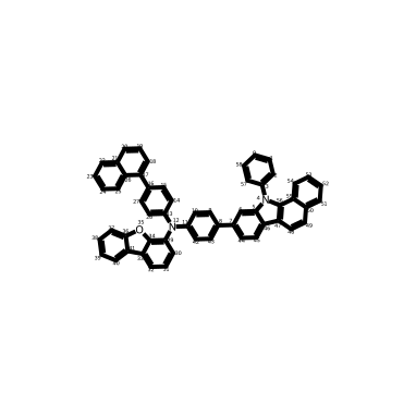 c1ccc(-n2c3cc(-c4ccc(N(c5ccc(-c6cccc7ccccc67)cc5)c5cccc6c5oc5ccccc56)cc4)ccc3c3ccc4ccccc4c32)cc1